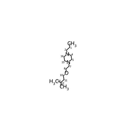 CCCN1CCN(CCOCCC(C)C)CC1